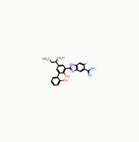 N=C(N)c1cc2nc(-c3cc(C(CC(=O)O)C(=O)O)cc(-c4ccccc4O)c3O)[nH]c2cc1F